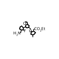 CCOC(=O)Cc1ccc(C)cc1OCc1cc(-c2cccc(CN)c2F)c2occc2c1